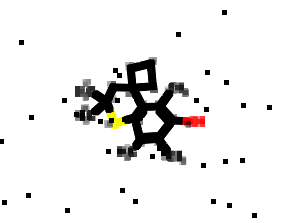 Cc1c(C)c2c(c(C)c1O)C1(CCC1)CC(C)(C)S2